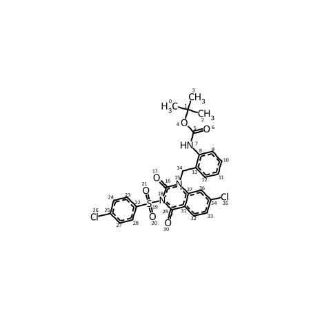 CC(C)(C)OC(=O)Nc1ccccc1Cn1c(=O)n(S(=O)(=O)c2ccc(Cl)cc2)c(=O)c2ccc(Cl)cc21